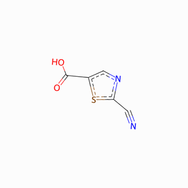 N#Cc1ncc(C(=O)O)s1